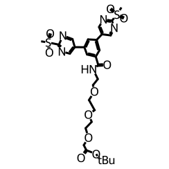 CC(C)(C)OC(=O)COCCOCCOCCNC(=O)c1cc(-c2cnc(S(C)(=O)=O)nc2)cc(-c2cnc(S(C)(=O)=O)nc2)c1